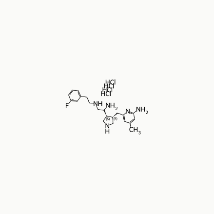 Cc1cc(N)nc(C[C@H]2CNC[C@H]2C(N)CNCCc2cccc(F)c2)c1.Cl.Cl.Cl.Cl